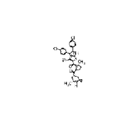 CC(C)C1=C(C(=O)N2C(C(=O)N3C[C@@H](C)NC4(CC4)C3)CC[C@H]2C)SC2NC(c3ccc(Cl)cc3)C(c3ccc(Cl)cc3)N12